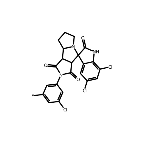 O=C1C2C3CCCN3C3(C(=O)Nc4c(Cl)cc(Cl)cc43)C2C(=O)N1c1cc(F)cc(Cl)c1